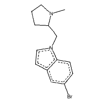 CN1CCCC1Cn1ccc2cc(Br)ccc21